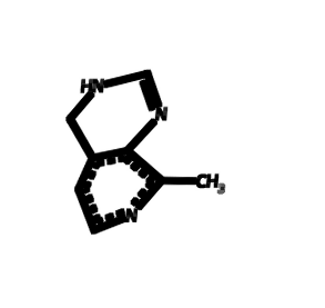 Cc1nccc2c1N=CNC2